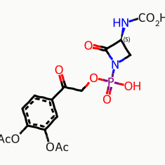 CC(=O)Oc1ccc(C(=O)COP(=O)(O)N2C[C@H](NC(=O)O)C2=O)cc1OC(C)=O